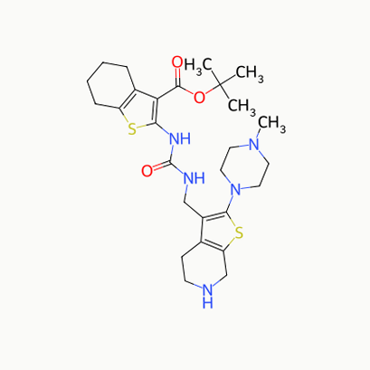 CN1CCN(c2sc3c(c2CNC(=O)Nc2sc4c(c2C(=O)OC(C)(C)C)CCCC4)CCNC3)CC1